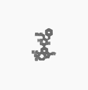 CNC[C@@H](O)[C@H](Cc1ccccc1)NC(=O)c1cc2c3c(c1)c(C(C)C)cn3CCS(=O)(=O)N2C